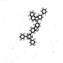 c1ccc(-c2ccc3c(c2)c2c4ccccc4ccc2n3-c2ccc3oc4cc(-c5nc(-c6ccccc6)nc(-c6ccccc6)n5)ccc4c3c2)cc1